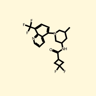 CC1CC(NC(=O)C2CC(F)(F)C2)CN(c2ccc(C(F)(F)F)c3ncccc23)C1